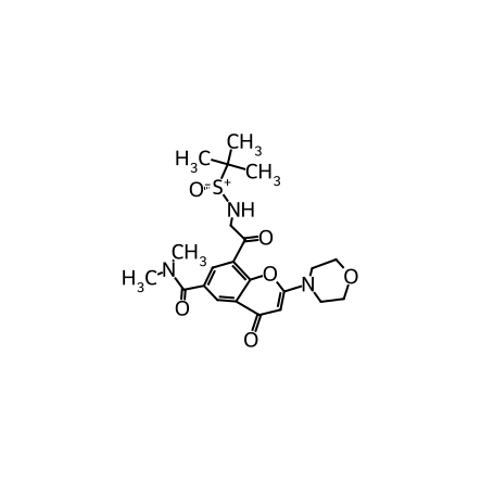 CN(C)C(=O)c1cc(C(=O)CN[S@+]([O-])C(C)(C)C)c2oc(N3CCOCC3)cc(=O)c2c1